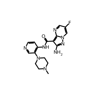 CN1CCN(c2cnccc2NC(=O)c2c(N)nn3cc(F)cnc23)CC1